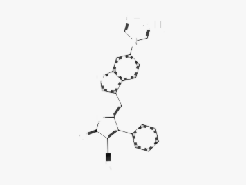 C=CN(C=C)c1ccc2c(C=C3OC(=O)C(C#N)=C3c3ccccc3)coc2c1